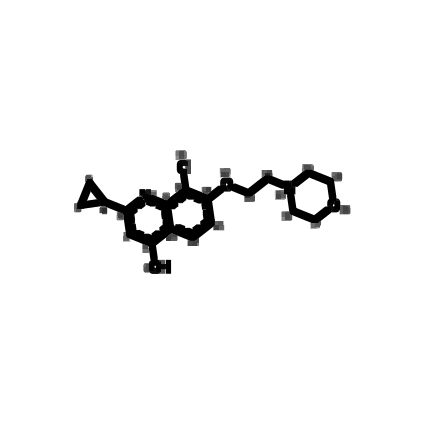 Oc1cc(C2CC2)nc2c(Cl)c(OCCN3CCOCC3)ccc12